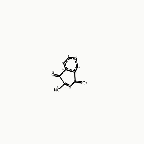 N#CC1=CC(=O)c2ccccc2C1=O